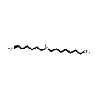 C=CCCCCCPCCCCCCCC